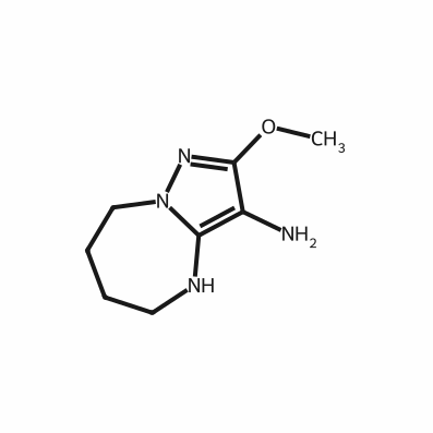 COc1nn2c(c1N)NCCCC2